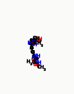 CCOC(=O)N[C@H](C)C(=O)N1CCC[C@H]1c1ncc(-c2ccc(-c3ccc(-c4cnc([C@@H]5CCCN5C(=O)[C@@H](C)N(CC)C(=O)O)[nH]4)cc3)cc2)[nH]1